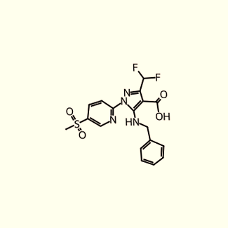 CS(=O)(=O)c1ccc(-n2nc(C(F)F)c(C(=O)O)c2NCc2ccccc2)nc1